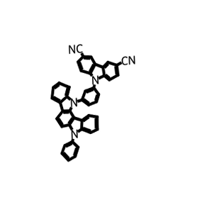 N#Cc1ccc2c(c1)c1cc(C#N)ccc1n2-c1cccc(-n2c3ccccc3c3ccc4c(c5ccccc5n4-c4ccccc4)c32)c1